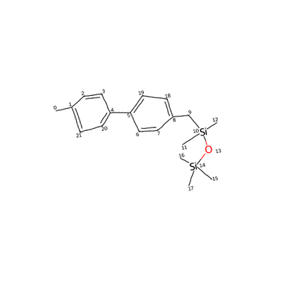 Cc1ccc(-c2ccc(C[Si](C)(C)O[Si](C)(C)C)cc2)cc1